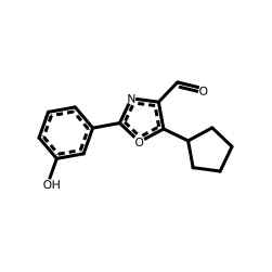 O=Cc1nc(-c2cccc(O)c2)oc1C1CCCC1